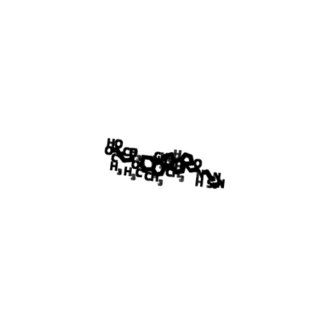 CC(C)(CC(=O)O[C@H]1CC[C@@]2(C)C(CC[C@]3(C)C2CC[C@@H]2[C@H]4CCC[C@]4(CC(=O)NCc4nncs4)CC[C@]23C)C1(C)C)C(=O)O